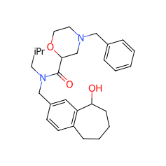 CC(C)CN(Cc1ccc2c(c1)C(O)CCCC2)C(=O)C1CN(Cc2ccccc2)CCO1